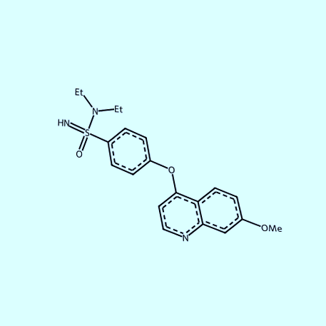 CCN(CC)S(=N)(=O)c1ccc(Oc2ccnc3cc(OC)ccc23)cc1